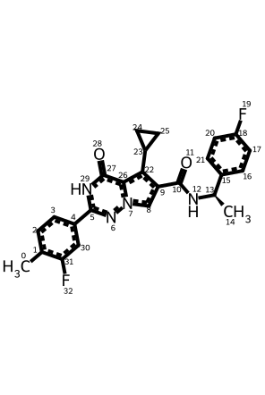 Cc1ccc(-c2nn3cc(C(=O)N[C@H](C)c4ccc(F)cc4)c(C4CC4)c3c(=O)[nH]2)cc1F